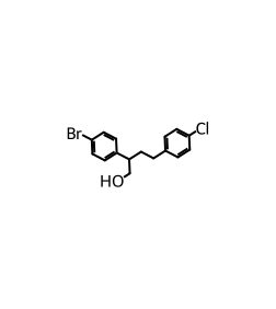 OCC(CCc1ccc(Cl)cc1)c1ccc(Br)cc1